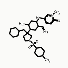 CC1CCC(S(=O)(=O)N2CCC(CC3CCCCC3)(C3CC(C=N)C(Nc4ccc(=O)n(C)c4)CC3C)C2)CC1